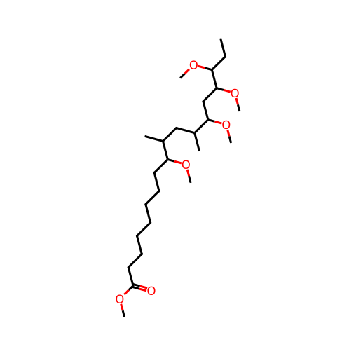 CCC(OC)C(CC(OC)C(C)CC(C)C(CCCCCCCC(=O)OC)OC)OC